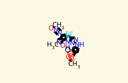 CCOP(=O)(Cc1ccc(Nc2ncc(C(F)(F)F)c(Nc3ccc(N4CCN(C(C)=O)CC4)c4c3C(=O)N(C)C4)n2)cc1)OCC